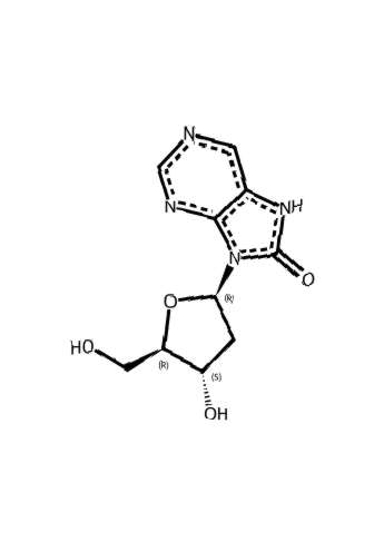 O=c1[nH]c2cncnc2n1[C@H]1C[C@H](O)[C@@H](CO)O1